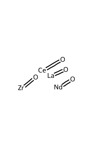 [O]=[Ce].[O]=[La].[O]=[Nd].[O]=[Zr]